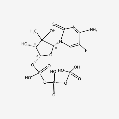 CC1(O)[C@@H](O)[C@@H](OP(=O)(O)OP(=O)(O)OP(=O)(O)O)O[C@H]1n1cc(F)c(N)nc1=S